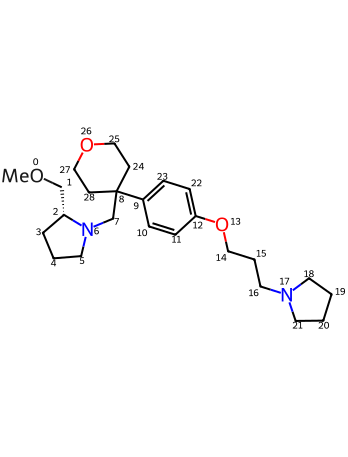 COC[C@H]1CCCN1CC1(c2ccc(OCCCN3CCCC3)cc2)CCOCC1